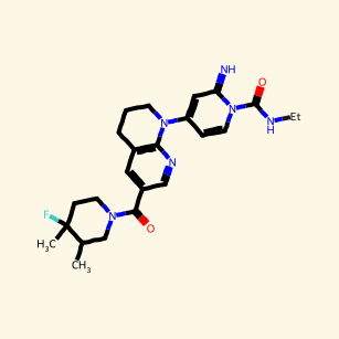 CCNC(=O)n1ccc(N2CCCc3cc(C(=O)N4CCC(C)(F)C(C)C4)cnc32)cc1=N